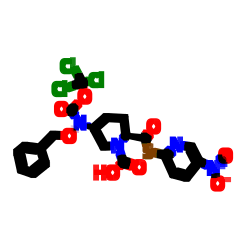 O=C(Sc1ccc([N+](=O)[O-])cn1)[C@@H]1CC[C@@H](N(OCc2ccccc2)C(=O)OC(Cl)(Cl)Cl)CN1C(=O)O